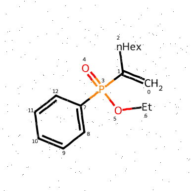 C=C(CCCCCC)P(=O)(OCC)c1ccccc1